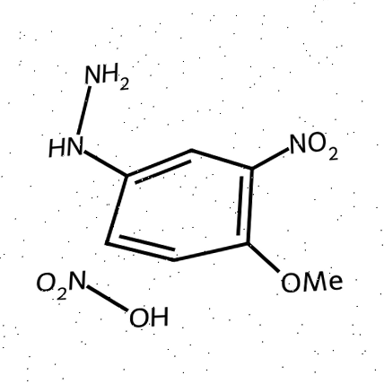 COc1ccc(NN)cc1[N+](=O)[O-].O=[N+]([O-])O